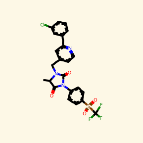 CC1C(=O)N(c2ccc(S(=O)(=O)C(F)(F)F)cc2)C(=O)N1Cc1ccnc(-c2cccc(Cl)c2)c1